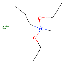 CCC[N+](C)(OCC)OCC.[Cl-]